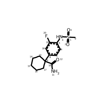 CS(=O)(=O)Nc1ccc(C2(C(N)=O)CCCCC2)cc1F